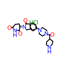 Cl.O=C1CC[C@H](N2Cc3cc(N4CCN(C(=O)C5CCNCC5)CC4)ccc3C2=O)C(=O)N1